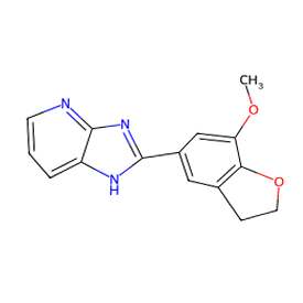 COc1cc(-c2nc3ncccc3[nH]2)cc2c1OCC2